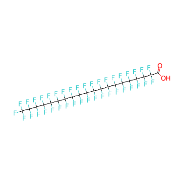 O=C(O)C(F)(F)C(F)(F)C(F)(F)C(F)(F)C(F)(F)C(F)(F)C(F)(F)C(F)(F)C(F)(F)C(F)(F)C(F)(F)C(F)(F)C(F)(F)C(F)(F)C(F)(F)C(F)(F)C(F)(F)C(F)(F)C(F)(F)F